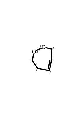 C1=CCOOCC1